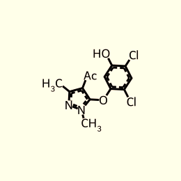 CC(=O)c1c(C)nn(C)c1Oc1cc(O)c(Cl)cc1Cl